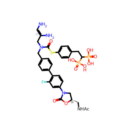 CC(=O)NC[C@H]1CN(c2ccc(-c3ccc(CN(C/C(N)=C/N)C(=O)Sc4ccc(CC(P(=O)(O)O)P(=O)(O)O)cc4)cc3)c(F)c2)C(=O)O1